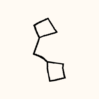 C1CC(CC2CCC2)C1